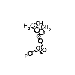 C=CC1=C=CC2=C(C=C1OC)C(=C)C=CC=C2Oc1ccc(/C=C/C(=O)C2(C(=O)/C=C/c3ccc(F)cc3)CC2)cc1